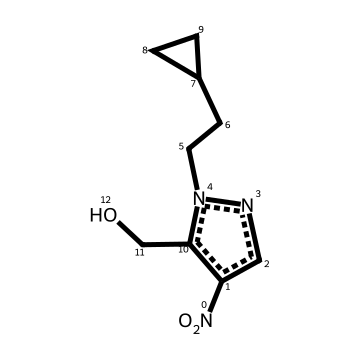 O=[N+]([O-])c1cnn(CCC2CC2)c1CO